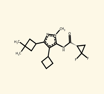 Cn1nc(C2CC(C)(C)C2)c(C2CCC2)c1NC(=O)[C@@H]1CC1(F)F